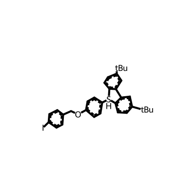 CC(C)(C)c1ccc2c(c1)-c1cc(C(C)(C)C)ccc1[SH]2c1ccc(OCc2ccc(I)cc2)cc1